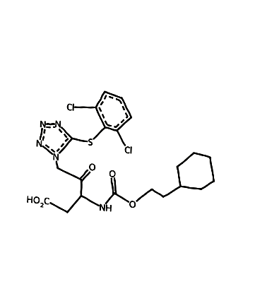 O=C(O)CC(NC(=O)OCCC1CCCCC1)C(=O)Cn1nnnc1Sc1c(Cl)cccc1Cl